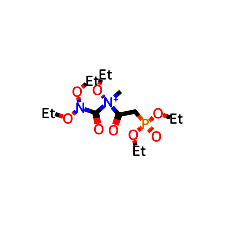 CCON(OCC)C(=O)[N+](C)(OCC)C(=O)CP(=O)(OCC)OCC